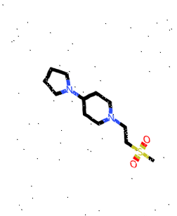 CS(=O)(=O)CCN1CCC(N2CCCC2)CC1